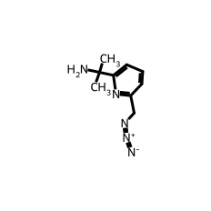 CC(C)(N)c1cccc(CN=[N+]=[N-])n1